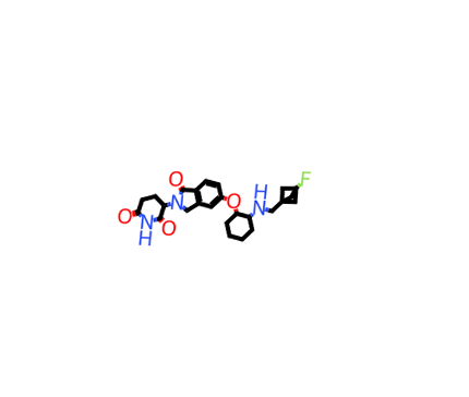 O=C1CCC(N2Cc3cc(OC4CCCCC4NCC45CC(F)(C4)C5)ccc3C2=O)C(=O)N1